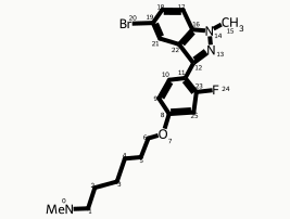 CNCCCCCCOc1ccc(-c2nn(C)c3ccc(Br)cc23)c(F)c1